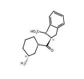 C[C@@H]1CCCN(C(=O)[C@@H]2Cc3ccccc3N2C(=O)O)C1